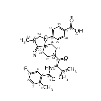 Cc1ccc(F)cc1C(=O)NC(C(=O)N1CCC2(CC1)C(=O)N(C)CN2c1ccc(C(=O)O)cc1)C(C)C